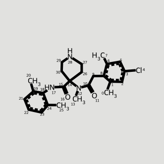 Cc1cc(Cl)cc(C)c1CC(=O)N(C)C1(C(=O)Nc2c(C)cccc2C)CCNCC1